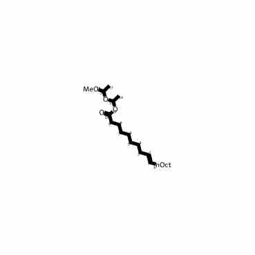 CCCCCCCCC=CCCCCCCCC(=O)OC(C)OC(C)OC